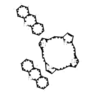 C1=Cc2cc3ccc(cc4nc(cc5ccc(cc1n2)[nH]5)C=C4)[nH]3.c1ccc2nc3ccccc3cc2c1.c1ccc2nc3ccccc3cc2c1